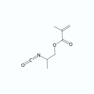 C=C(C)C(=O)OCC(C)N=C=O